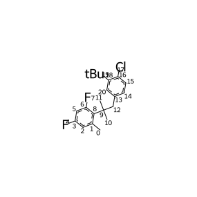 Cc1cc(F)cc(F)c1C(C)(C)Cc1ccc(Cl)c(C(C)(C)C)c1